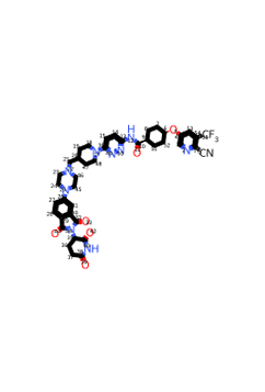 N#Cc1ncc(O[C@H]2CC[C@H](C(=O)Nc3ccc(N4CCC(CN5CCN(c6ccc7c(c6)C(=O)N(C6CCC(=O)NC6=O)C7=O)CC5)CC4)nn3)CC2)cc1C(F)(F)F